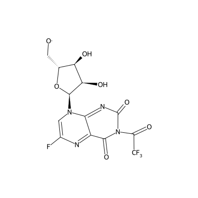 [O]C[C@H]1O[C@H](n2cc(F)nc3c(=O)n(C(=O)C(F)(F)F)c(=O)nc2-3)[C@H](O)[C@@H]1O